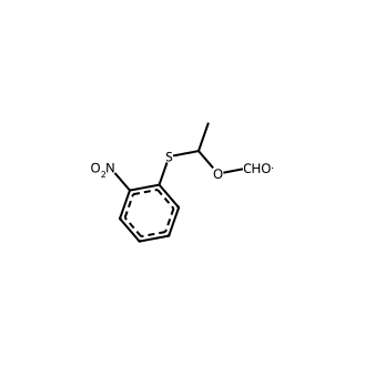 CC(O[C]=O)Sc1ccccc1[N+](=O)[O-]